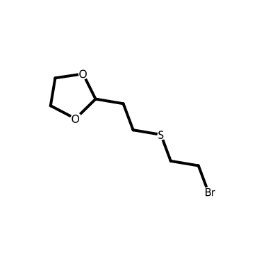 BrCCSCCC1OCCO1